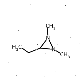 CCC1N(C)N1C